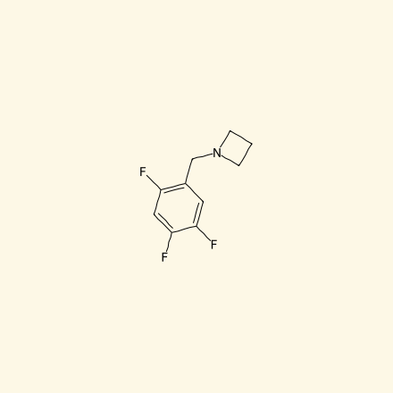 Fc1cc(F)c(CN2CCC2)cc1F